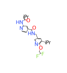 CC(C)C(=O)Nc1cc(C(=O)NCc2cnc(OCC(F)F)c(C(C)C)c2)ccn1